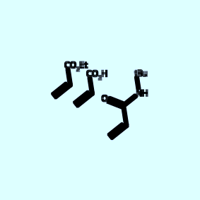 C=CC(=O)NC(C)(C)C.C=CC(=O)O.C=CC(=O)OCC